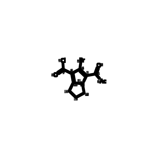 CC(=O)C(=O)c1c(Br)c(C(=O)Cl)c2n1CCC2